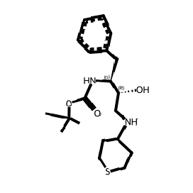 CC(C)(C)OC(=O)N[C@@H](Cc1ccccc1)[C@H](O)CNC1CCSCC1